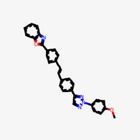 COc1ccc(-n2ncc(-c3ccc(C=Cc4ccc(-c5nc6ccccc6o5)cc4)cc3)n2)cc1